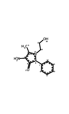 Cc1c(N)c(=O)n(-c2ccccc2)n1CCO